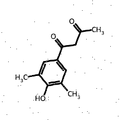 CC(=O)CC(=O)c1cc(C)c(O)c(C)c1